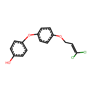 Oc1ccc(Oc2ccc(OCC=C(Cl)Cl)cc2)cc1